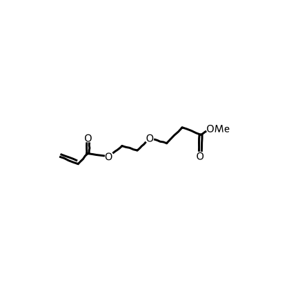 C=CC(=O)OCCOCCC(=O)OC